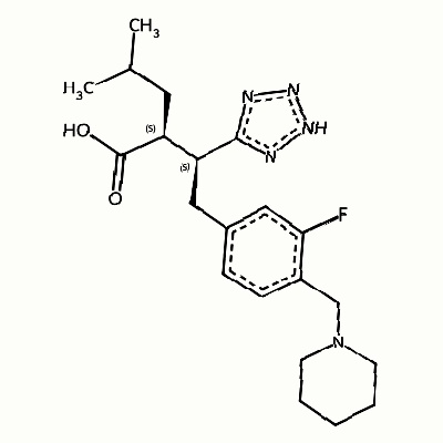 CC(C)C[C@H](C(=O)O)[C@H](Cc1ccc(CN2CCCCC2)c(F)c1)c1nn[nH]n1